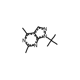 Cc1nc(C)c2cnn(C(C)(C)C)c2n1